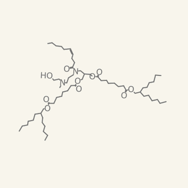 CCCCC/C=C\CCC(=O)N(CCCN(C)CCO)CC(COC(=O)CCCCCCC(=O)OCC(CCCCCC)CCCCCC)COC(=O)CCCCCCC(=O)OCC(CCCCCC)CCCCCC